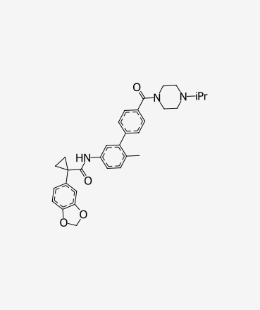 Cc1ccc(NC(=O)C2(c3ccc4c(c3)OCO4)CC2)cc1-c1ccc(C(=O)N2CCN(C(C)C)CC2)cc1